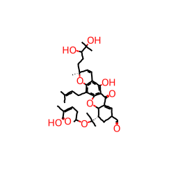 CC(C)=CCc1c2c(c(O)c3c1OC1C(=CC(C=O)C[C@@H]1C(C)(C)OC(C)C/C=C(/C)C(=O)O)C3=O)C=C[C@](C)(CCC(O)C(C)(C)O)O2